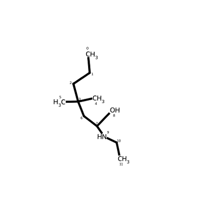 CCCC(C)(C)CC(O)NCC